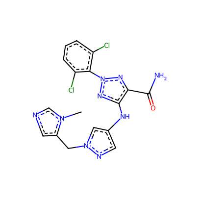 Cn1cncc1Cn1cc(Nc2nn(-c3c(Cl)cccc3Cl)nc2C(N)=O)cn1